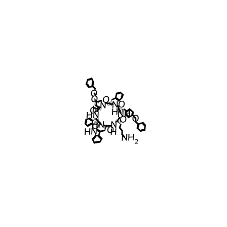 NCCCC[C@@H]1NC(=O)[C@@H](Cc2c[nH]c3ccccc23)NC(=O)[C@H](c2ccccc2)NC(=O)[C@@H]2C[C@@H](OCOCc3ccccc3)CN2C(=O)[C@H](Cc2ccccc2)NC(=O)[C@H](Cc2ccc(OCc3ccccc3)cc2)NC1=O